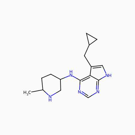 CC1CCC(Nc2ncnc3[nH]cc(CC4CC4)c23)CN1